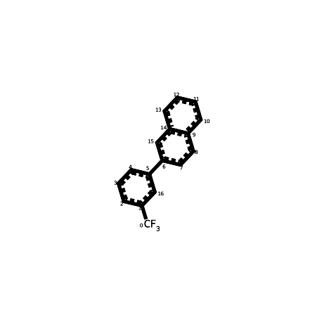 FC(F)(F)c1cc[c]c(-c2ccc3ccccc3c2)c1